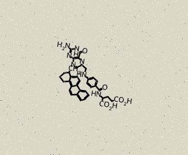 CC1CCCc2c1ccc1c2ccc2ccccc21.Nc1nc2ncc(CNc3ccc(C(=O)NC(CCC(=O)O)C(=O)O)cc3)nc2c(=O)[nH]1